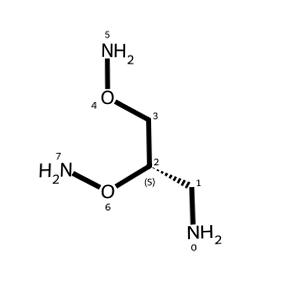 NC[C@@H](CON)ON